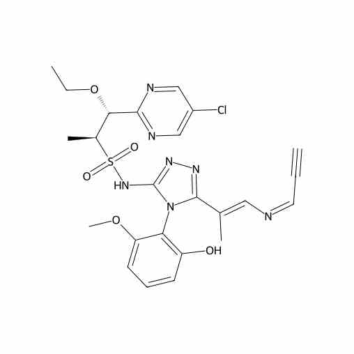 C#C/C=N\C=C(/C)c1nnc(NS(=O)(=O)[C@@H](C)[C@H](OCC)c2ncc(Cl)cn2)n1-c1c(O)cccc1OC